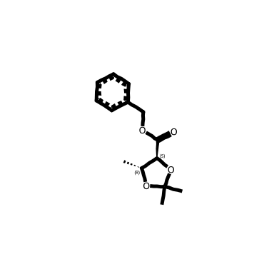 C[C@H]1OC(C)(C)O[C@@H]1C(=O)OCc1ccccc1